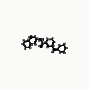 CN(c1cccc(C(=O)Nc2cnc3ccccc3c2)c1)C1CCCCC1